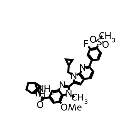 COc1cc(C(=O)N2CC3CCC2[C@@H]3N)cc2nc(-c3cc4ccc(-c5ccc(S(C)(=O)=O)c(F)c5)nc4n3CC3CC3)n(C)c12